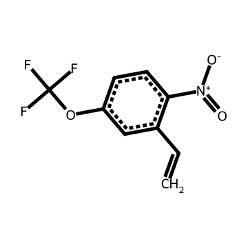 C=Cc1cc(OC(F)(F)F)ccc1[N+](=O)[O-]